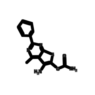 Cc1nc(-c2ccccc2)nc2sc(OC(N)=O)c(N)c12